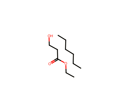 CCCCCC.CCOC(=O)CCO